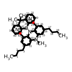 CCCCc1cc(C#N)c2c(c1)N(C)c1cc(CCCC)cc(C#N)c1N2B1c2ccccc2C(C)(C)c2ccccc21